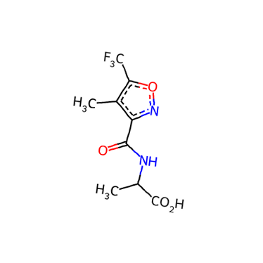 Cc1c(C(=O)NC(C)C(=O)O)noc1C(F)(F)F